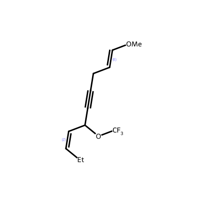 CC/C=C\C(C#CC/C=C/OC)OC(F)(F)F